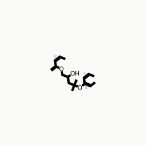 C=C(/C=C\C)OCC(O)CC(C)(C)OC(/C=C\C)=C/C